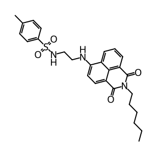 CCCCCCN1C(=O)c2cccc3c(NCCNS(=O)(=O)c4ccc(C)cc4)ccc(c23)C1=O